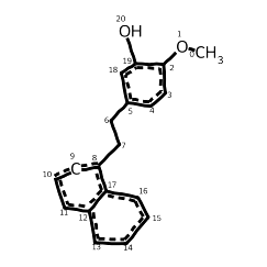 COc1ccc(CCc2cccc3ccccc23)cc1O